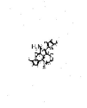 Cc1ccc(C2=C3C(=O)N(N)C(c4ccc(C)s4)=C3COCN2C)s1